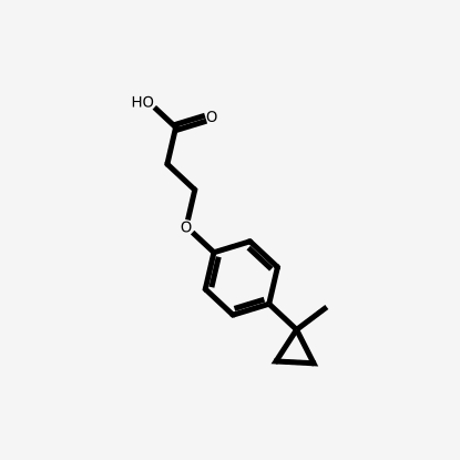 CC1(c2ccc(OCCC(=O)O)cc2)CC1